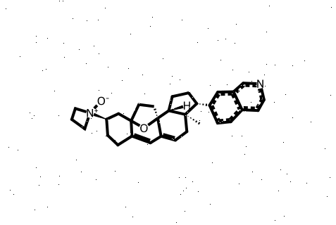 C[C@]12CC=C3C=C4CC[C@@H]([N+]5([O-])CCC5)CC45CC[C@]3(O5)[C@@H]1CC[C@@H]2c1ccc2ccncc2c1